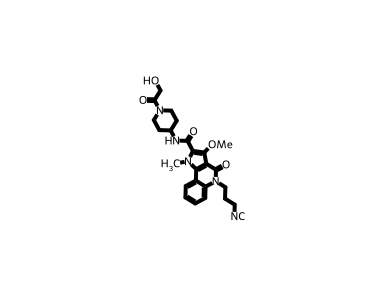 [C-]#[N+]CCCn1c(=O)c2c(OC)c(C(=O)NC3CCN(C(=O)CO)CC3)n(C)c2c2ccccc21